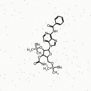 CC(C)(C)[Si](C)(C)OCC1OC(n2cnc3c(NC(=O)c4ccccc4)ncnc32)C(O[Si](C)(C)C(C)(C)C)C1OC(N)=O